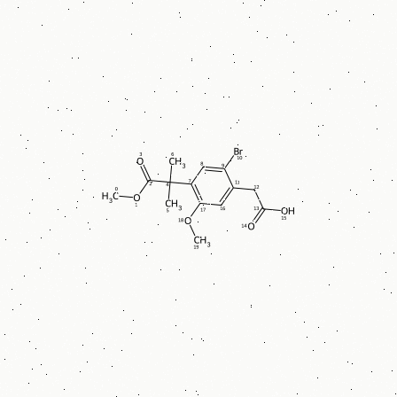 COC(=O)C(C)(C)c1cc(Br)c(CC(=O)O)cc1OC